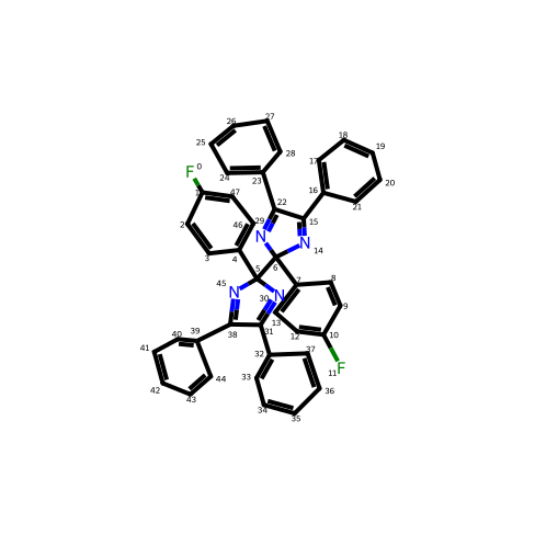 Fc1ccc(C2(C3(c4ccc(F)cc4)N=C(c4ccccc4)C(c4ccccc4)=N3)N=C(c3ccccc3)C(c3ccccc3)=N2)cc1